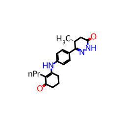 CCCC1=C(Nc2ccc(C3=NNC(=O)C[C@H]3C)cc2)CCCC1=O